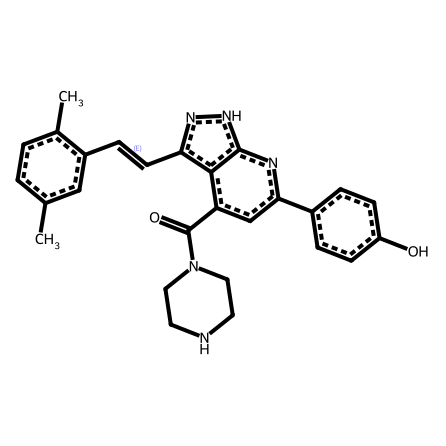 Cc1ccc(C)c(/C=C/c2n[nH]c3nc(-c4ccc(O)cc4)cc(C(=O)N4CCNCC4)c23)c1